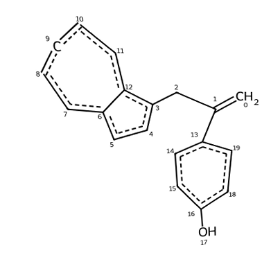 C=C(Cc1ccc2cccccc1-2)c1ccc(O)cc1